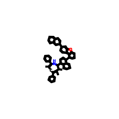 C/C1=C(\c2ccccc2)NC(c2ccc(-c3cccc4oc5cc(-c6ccc7ccccc7c6)ccc5c34)c3ccccc23)C(C)/C(C)=C(/c2ccccc2)C1